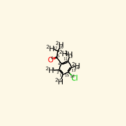 [2H]c1c([2H])c(C(=O)C([2H])([2H])[2H])c([2H])c([2H])c1Cl